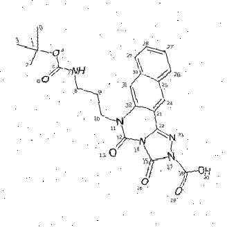 CC(C)(C)OC(=O)NCCCn1c(=O)n2c(=O)n(C(=O)O)nc2c2cc3ccccc3cc21